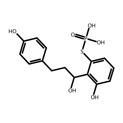 O=P(O)(O)Sc1cccc(O)c1C(O)CCc1ccc(O)cc1